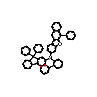 c1ccc(-c2ccccc2N(c2ccc3c(c2)C(c2ccccc2)(c2ccccc2)c2ccccc2-3)c2ccc3c(c2)oc2c(-c4ccccc4)c4ccccc4cc23)cc1